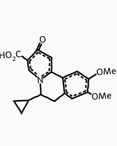 COc1cc2c(cc1OC)-c1cc(=O)c(C(=O)O)cn1C(C1CC1)C2